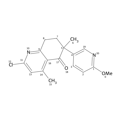 COc1ccc(C2(C)CCc3nc(Cl)cc(C)c3C2=O)cn1